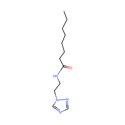 CCCCCCCC(=O)NCCn1cncn1